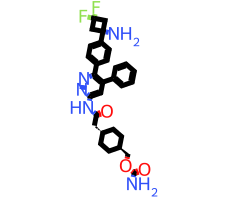 NC(=O)OC[C@H]1CC[C@H](CC(=O)Nc2cc(-c3ccccc3)c(-c3ccc(C4(N)CC(F)(F)C4)cc3)nn2)CC1